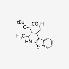 CC1Nc2sc3ccccc3c2C(I)C1C(OC(C)(C)C)C(=O)O